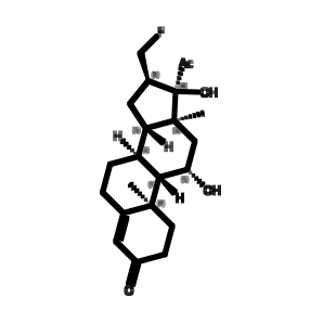 CC(=O)[C@@]1(O)[C@H](CF)C[C@H]2[C@@H]3CCC4=CC(=O)CC[C@]4(C)[C@H]3[C@@H](O)C[C@@]21C